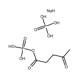 CC(=O)CCC(=O)OP(=O)(O)O.O=P(O)(O)O.[NaH]